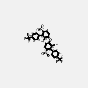 O=[N+]([O-])c1ccc(Oc2ccc([N+](=O)[O-])c(-c3ccc(C(F)(F)F)cc3)c2I)c(I)c1-c1ccc(C(F)(F)F)cc1